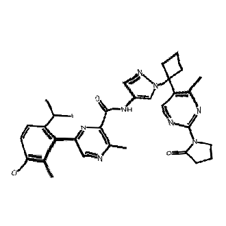 Cc1nc(N2CCCC2=O)ncc1C1(n2cc(NC(=O)c3nc(-c4c(C(C)I)ccc(Cl)c4C)cnc3C)cn2)CCC1